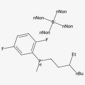 CCCCC(CC)CC[PH+](C)c1cc(F)ccc1F.CCCCCCCCC[B-](CCCCCCCCC)(CCCCCCCCC)CCCCCCCCC